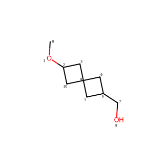 COC1CC2(CC(CO)C2)C1